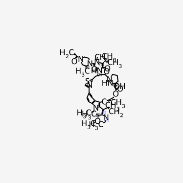 C=CC(=O)N1CCN(C(=O)N(C)[C@H](C(=O)N[C@H]2Cc3nc(cs3)-c3ccc4c(c3)c(c(/C(C=C)=C(/N=C\C)[C@H](C)OC)n4CC)CC(C)(C)COC(=O)[C@@]3(O)CCCN(N3)C2=O)C(C)C)[C@@H](C)C1